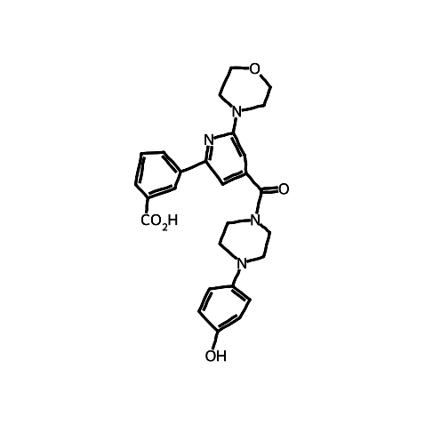 O=C(O)c1cccc(-c2cc(C(=O)N3CCN(c4ccc(O)cc4)CC3)cc(N3CCOCC3)n2)c1